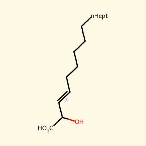 CCCCCCCCCCCC/C=C/C(O)C(=O)O